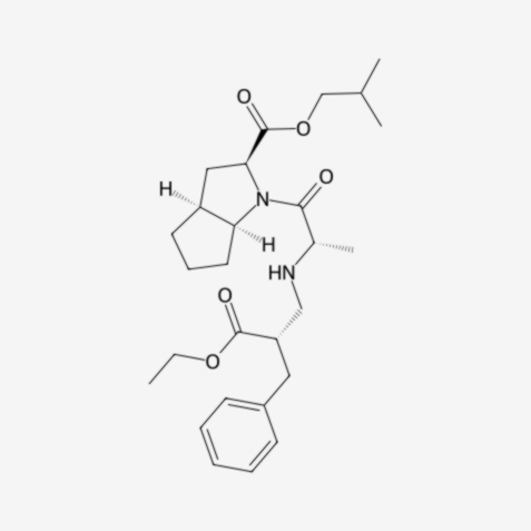 CCOC(=O)[C@H](CN[C@@H](C)C(=O)N1[C@H](C(=O)OCC(C)C)C[C@@H]2CCC[C@@H]21)Cc1ccccc1